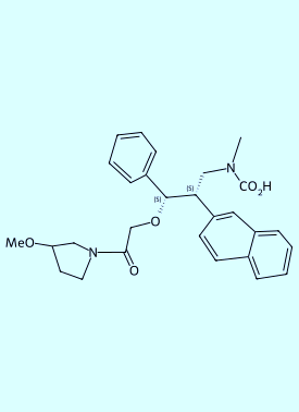 COC1CCN(C(=O)CO[C@H](c2ccccc2)[C@H](CN(C)C(=O)O)c2ccc3ccccc3c2)C1